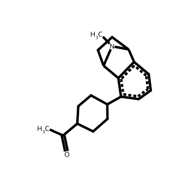 CC(=O)C1CCC(c2cccc3c2C2CCC3N2C)CC1